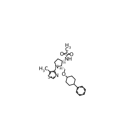 Cc1scnc1N1CC[C@H](NS(C)(=O)=O)[C@@H]1COC1CCC(c2ccccc2)CC1